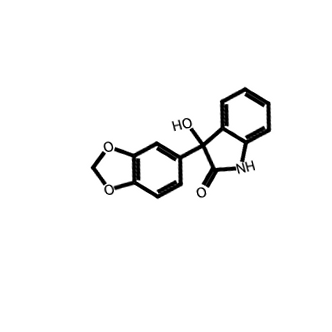 O=C1Nc2ccccc2C1(O)c1ccc2c(c1)OCO2